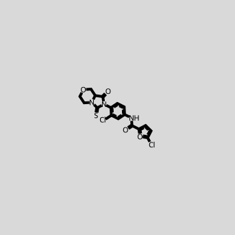 O=C(Nc1ccc(N2C(=O)C3COCCN3C2=S)c(Cl)c1)c1ccc(Cl)o1